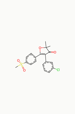 CC1(C)OC(c2ccc(S(C)(=O)=O)cc2)=C(c2cccc(Cl)c2)C1=O